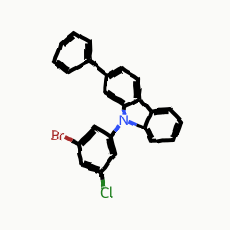 Clc1cc(Br)cc(-n2c3ccccc3c3ccc(-c4ccccc4)cc32)c1